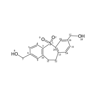 O=S1(=O)c2ccc(CO)cc2CCc2ccc(CO)cc21